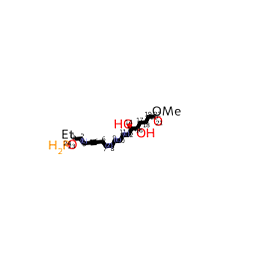 CCC(/C=C/C#CC\C=C/C=C/C=C/C(O)C(O)CCCC(=O)OC)OP